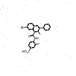 Cc1cc(C(=O)O)ccc1NC(=O)c1c(C)c(-c2ccccc2)cc2ccc(Br)cc12